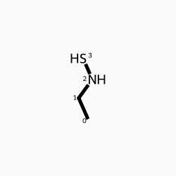 CCNS